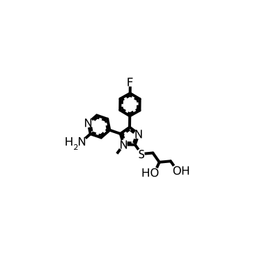 Cn1c(SCC(O)CO)nc(-c2ccc(F)cc2)c1-c1ccnc(N)c1